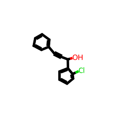 OC(C#Cc1ccccc1)c1ccccc1Cl